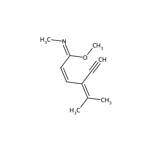 C#CC(/C=C\C(=N/C)OC)=C(C)C